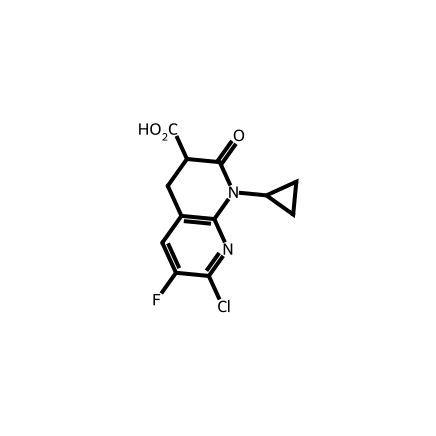 O=C(O)C1Cc2cc(F)c(Cl)nc2N(C2CC2)C1=O